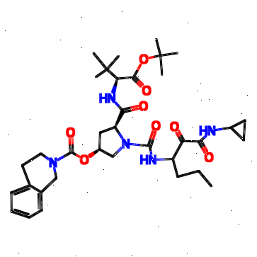 CCCC(NC(=O)N1C[C@@H](OC(=O)N2CCc3ccccc3C2)C[C@H]1C(=O)N[C@H](C(=O)OC(C)(C)C)C(C)(C)C)C(=O)C(=O)NC1CC1